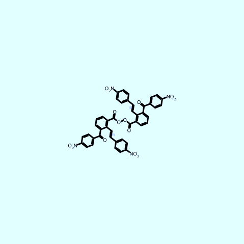 O=C(OOC(=O)c1cccc(C(=O)c2ccc([N+](=O)[O-])cc2)c1/C=C/c1ccc([N+](=O)[O-])cc1)c1cccc(C(=O)c2ccc([N+](=O)[O-])cc2)c1/C=C/c1ccc([N+](=O)[O-])cc1